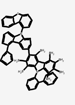 Bc1c(B)c(B)c2c(c1B)c1c(B)c(-c3ccc4c(c3)c3c(-c5ccccc5)cccc3n4-c3cccc4sc5ccccc5c34)c(B)c(B)c1n2-c1ccccc1-c1ccccc1